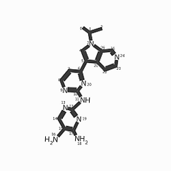 CC(C)n1cc(-c2ccnc(Nc3ncc(N)c(N)n3)n2)c2ccncc21